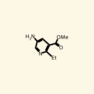 CCc1ncc(N)cc1C(=O)OC